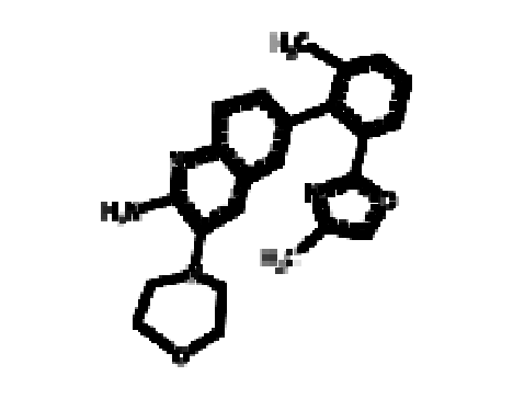 Cc1coc(-c2cccc(C)c2-c2ccc3nc(N)c(N4CCOCC4)cc3c2)n1